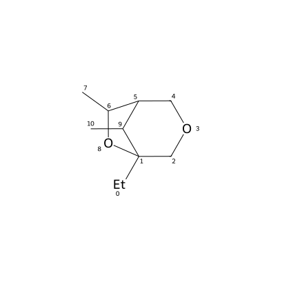 CCC12COCC(C(C)O1)C2C